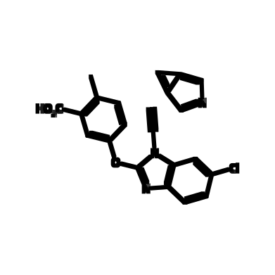 C#Cn1c(Oc2ccc(C)c(C(=O)O)c2)nc2ccc(Cl)cc21.c1ncc2cc1-2